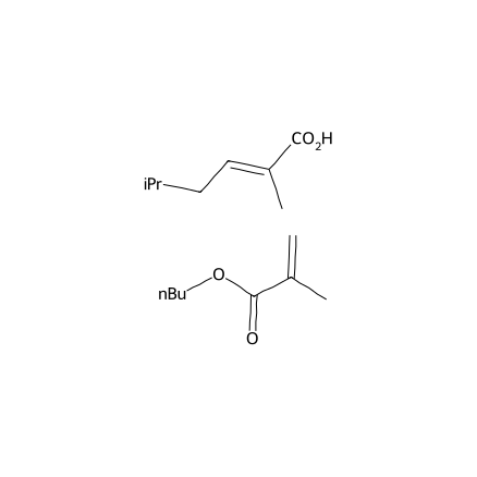 C/C(=C\CC(C)C)C(=O)O.C=C(C)C(=O)OCCCC